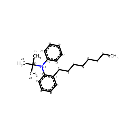 CCCCCCCCc1ccccc1N(c1ccccc1)C(C)(C)C